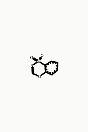 O=S1(=O)N=COc2ccccc21